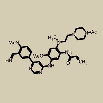 C=CC(=O)Nc1cc(Nc2cc(-c3ccc(NC)c(C=N)c3)ncn2)c(OC)cc1N(C)CCN1CCN(C(C)=O)CC1